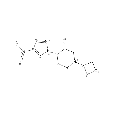 C[C@@H]1CN(C2COC2)CC[C@@H]1n1cc([N+](=O)[O-])cn1